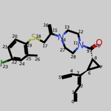 C=C/C=C(\C=C)[C@@H]1C[C@H]1C(=O)N1CCN(C(=C)CSc2ccc(Cl)cc2C)CC1